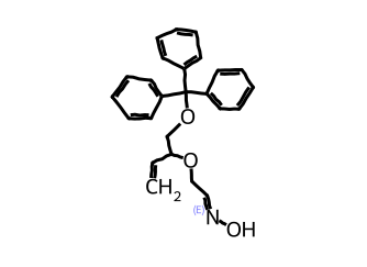 C=CC(COC(c1ccccc1)(c1ccccc1)c1ccccc1)OC/C=N/O